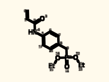 C=CC(=O)Nc1ccc(CP(=O)(OCC)OCC)cc1